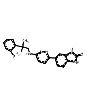 CC(C)(CNc1ccc(-c2ccc3[nH]c(=O)[nH]c3c2)nn1)c1ccccc1F